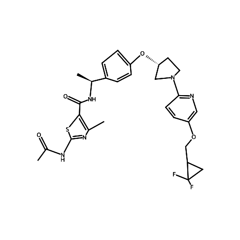 CC(=O)Nc1nc(C)c(C(=O)N[C@@H](C)c2ccc(O[C@@H]3CCN(c4ccc(OCC5CC5(F)F)cn4)C3)cc2)s1